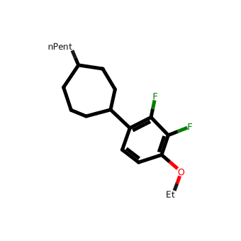 CCCCCC1CCCC(c2ccc(OCC)c(F)c2F)CC1